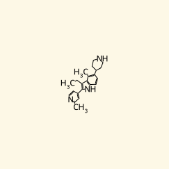 CCc1c(-c2ccnc(C)c2)[nH]c2ccc(C3CCNCC3)c(C)c12